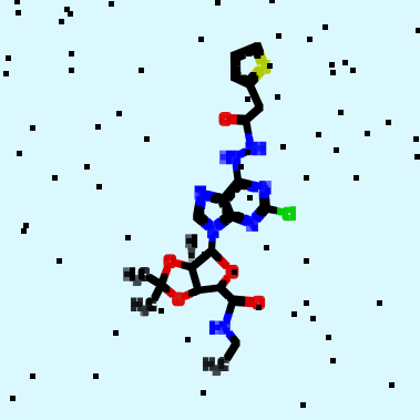 CCNC(=O)C1OC(n2cnc3c(NNC(=O)Cc4cccs4)nc(Cl)nc32)[C@@H]2OC(C)(C)OC12